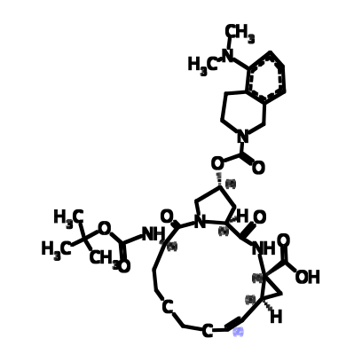 CN(C)c1cccc2c1CCN(C(=O)O[C@@H]1C[C@H]3C(=O)N[C@]4(C(=O)O)C[C@H]4/C=C\CCCCC[C@H](NC(=O)OC(C)(C)C)C(=O)N3C1)C2